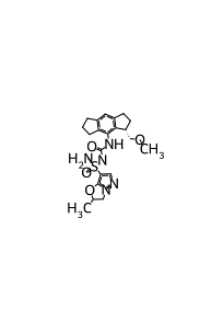 COC[C@H]1CCc2cc3c(c(NC(=O)N=[S@@](N)(=O)c4cnn5c4O[C@H](C)C5)c21)CCC3